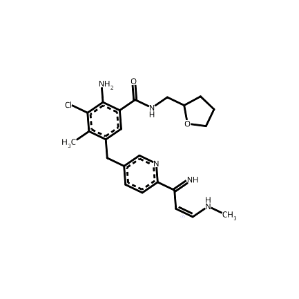 CN/C=C\C(=N)c1ccc(Cc2cc(C(=O)NCC3CCCO3)c(N)c(Cl)c2C)cn1